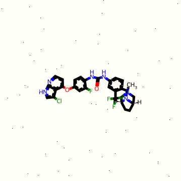 CN1C[C@H]2CC[C@@H](C1)N2Cc1ccc(NC(=O)Nc2ccc(Oc3ccnc4[nH]cc(Cl)c34)cc2F)cc1C(F)(F)F